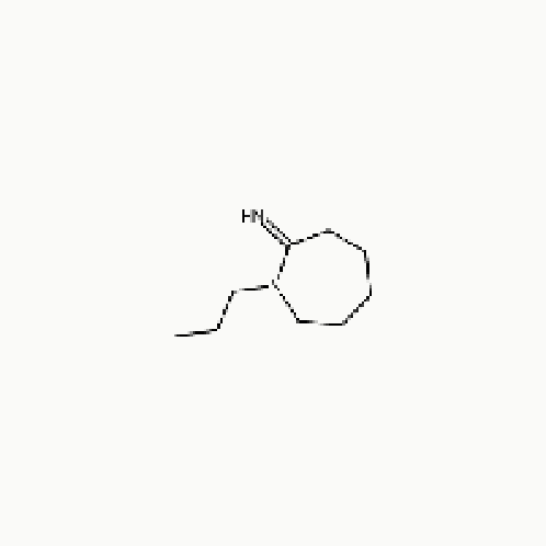 CCCN1CCCCCC1=N